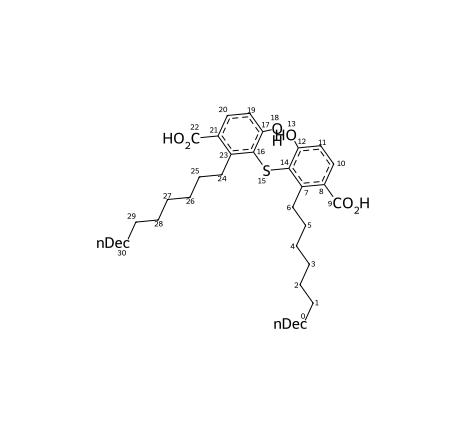 CCCCCCCCCCCCCCCCc1c(C(=O)O)ccc(O)c1Sc1c(O)ccc(C(=O)O)c1CCCCCCCCCCCCCCCC